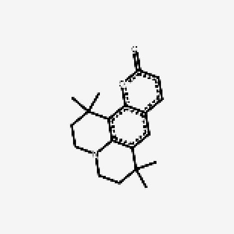 CC1(C)CCN2CCC(C)(C)c3c2c1cc1ccc(=O)oc31